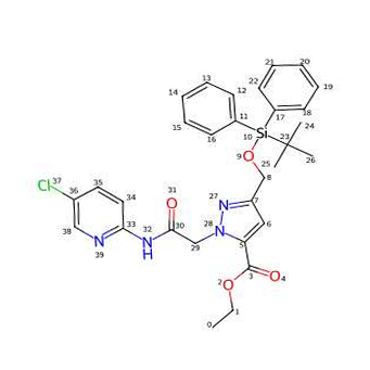 CCOC(=O)c1cc(CO[Si](c2ccccc2)(c2ccccc2)C(C)(C)C)nn1CC(=O)Nc1ccc(Cl)cn1